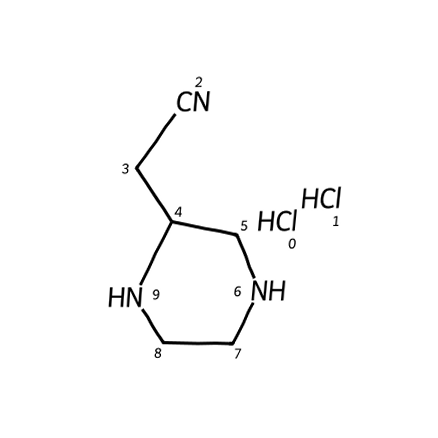 Cl.Cl.N#CCC1CNCCN1